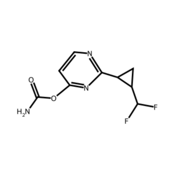 NC(=O)Oc1ccnc(C2CC2C(F)F)n1